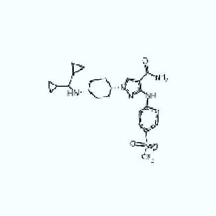 NC(=O)c1cn([C@H]2CC[C@@H](NC(C3CC3)C3CC3)CC2)nc1Nc1ccc(S(=O)(=O)C(F)(F)F)cc1